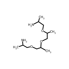 CC(N)COCC(C)OCC(C)OCC(C)N